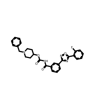 O=C(NC(=O)c1cccc(-c2noc(-c3ccccc3F)n2)c1)OC1CCN(Cc2ccccc2)CC1